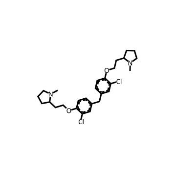 CN1CCCC1CCOc1ccc(Cc2ccc(OCCC3CCCN3C)c(Cl)c2)cc1Cl